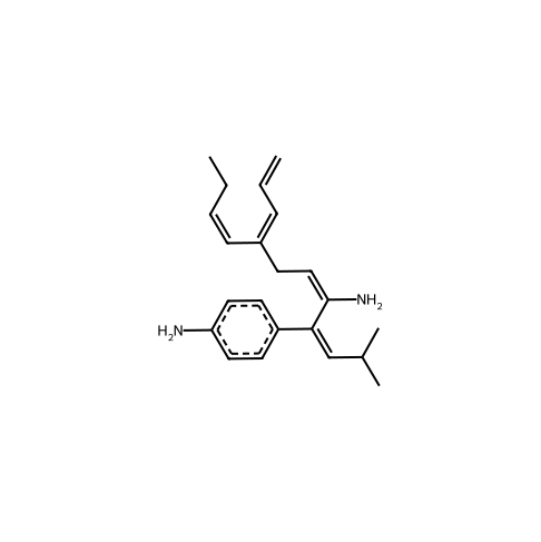 C=C/C=C(\C=C/CC)C/C=C(N)\C(=C/C(C)C)c1ccc(N)cc1